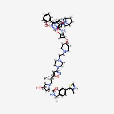 Cc1ncsc1-c1ccc([C@H](C)NC(=O)[C@@H]2C[C@@H](O)CN2C[C@@H](c2cc(N3CCN(CCN4CCC(O[C@H]5C[C@H](Oc6cc(N7C8CCC7CN(c7cc(-c9ccccc9O)nnc7N)C8)ccn6)C5)CC4)CC3)no2)C(C)C)cc1